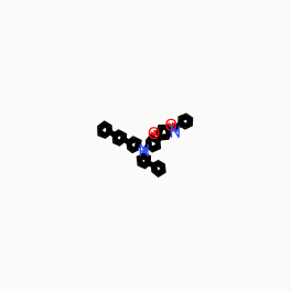 c1ccc(-c2ccc(-c3ccc(N(c4cccc(-c5ccccc5)c4)c4ccc5c(c4)oc4cc6oc(-c7ccccc7)nc6cc45)cc3)cc2)cc1